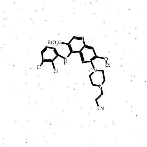 CCOC(=O)c1cnc2cc(OCC)c(N3CCN(CCC#N)CC3)cc2c1Nc1cccc(Cl)c1Cl